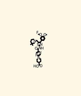 COc1ccc(-c2nc(NC(=O)c3cnc(N4CCC(C(=O)O)CC4)cn3)sc2CN2CCCC(C)(C)C2)cc1OCF